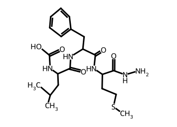 CSCCC(NC(=O)C(Cc1ccccc1)NC(=O)C(CC(C)C)NC(=O)O)C(=O)NN